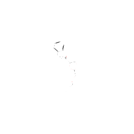 CCOC(=O)COCC1OCC(COc2ccccc2OC)O1